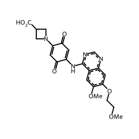 COCCOc1cc2ncnc(NC3=CC(=O)C(N4CC(C(=O)O)C4)=CC3=O)c2cc1OC